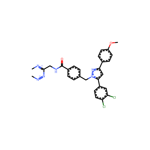 C/N=N\C(CNC(=O)c1ccc(Cn2nc(-c3ccc(OC)cc3)cc2-c2ccc(Cl)c(Cl)c2)cc1)=N/C